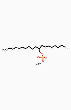 CCCCCCCCCCC(CCCCCCCC)COP(=O)([O-])[O-].[Ca+2]